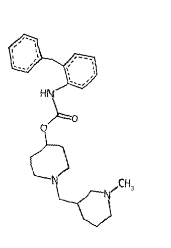 CN1CCCC(CN2CCC(OC(=O)Nc3ccccc3-c3ccccc3)CC2)C1